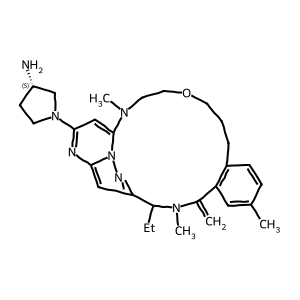 C=C1c2cc(C)ccc2CCCOCCN(C)c2cc(N3CC[C@H](N)C3)nc3cc(nn23)C(CC)N1C